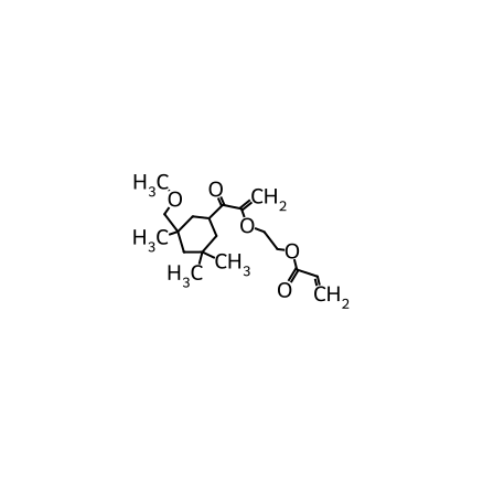 C=CC(=O)OCCOC(=C)C(=O)C1CC(C)(C)CC(C)(COC)C1